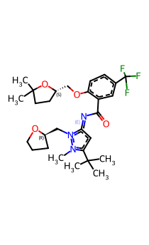 Cn1c(C(C)(C)C)c/c(=N\C(=O)c2cc(C(F)(F)F)ccc2OC[C@@H]2CCC(C)(C)O2)n1C[C@H]1CCCO1